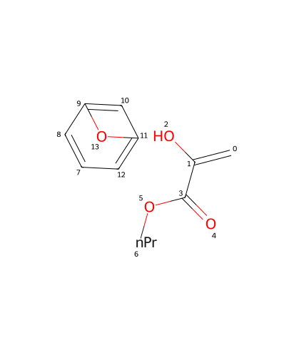 C=C(O)C(=O)OCCC.c1cc2cc(c1)O2